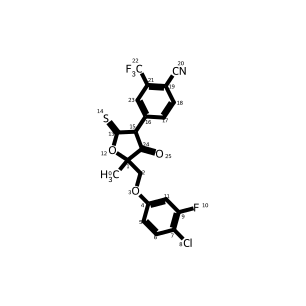 CC1(COc2ccc(Cl)c(F)c2)OC(=S)C(c2ccc(C#N)c(C(F)(F)F)c2)C1=O